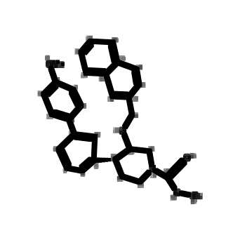 COc1ccc(-c2cccc([C@H]3CCN(C(=O)OC(C)(C)C)CC3OCc3ccc4ccccc4c3)c2)cc1